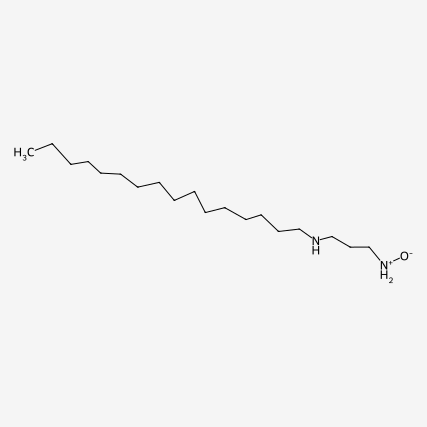 CCCCCCCCCCCCCCCCNCCC[NH2+][O-]